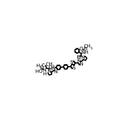 COC(=O)N[C@@H](C(=O)N1CCCC1c1ncc(-c2csc3c(-c4ccc(-c5ccc6[nH]c(C7CCCN7C(=O)[C@H](NC(=O)O)C(C)C)nc6c5)cc4)csc23)[nH]1)c1ccccc1